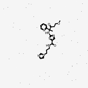 COCCC(=O)C(C)(Nc1ncc(C(=O)NCCCn2ccnc2)s1)c1ccccn1